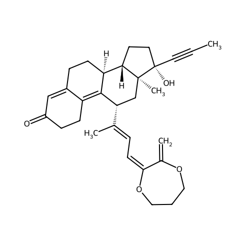 C=C1OCCCO/C1=C/C=C(\C)[C@H]1C[C@@]2(C)[C@@H](CC[C@@]2(O)C#CC)[C@@H]2CCC3=CC(=O)CCC3=C21